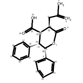 C=C(C)C[C@H]1C(=O)O[C@H](c2ccccc2)[C@H](c2ccccc2)N1C(=O)O